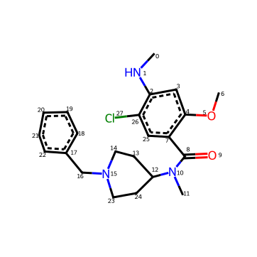 CNc1cc(OC)c(C(=O)N(C)C2CCN(Cc3ccccc3)CC2)cc1Cl